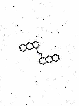 C(=C\c1cccc2cc3ccccc3cc12)/c1cccc2cc3ccccc3cc12